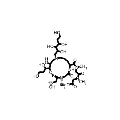 COC(=O)CN(C)C(=O)CN(C)C(=O)C1CCCN(CC(O)C(O)C(O)CCO)CC(O)C(C(O)CCO)OB=C(CNO)N(C)CC(=O)N1